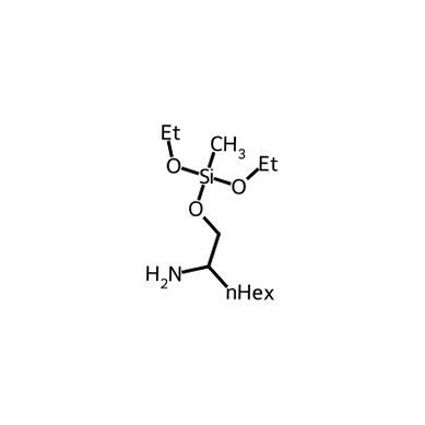 CCCCCCC(N)CO[Si](C)(OCC)OCC